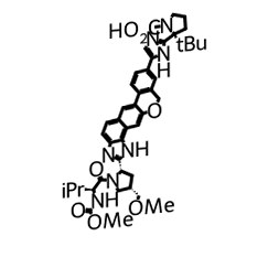 COC[C@H]1C[C@@H](c2nc3ccc4cc5c(cc4c3[nH]2)OCc2cc(-c3cnc([C@@]4(C(C)(C)C)CCCN4C(=O)O)[nH]3)ccc2-5)N(C(=O)[C@@H](NC(=O)OC)C(C)C)C1